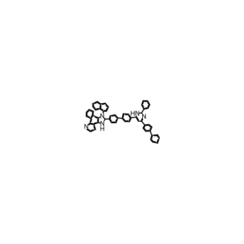 C1=C(c2ccc(-c3ccc(C4Nc5c(c6ccccc6c6ncccc56)N4c4cccc5ccccc45)cc3)cc2)NC(c2ccccc2)N=C1c1ccc(-c2ccccc2)cc1